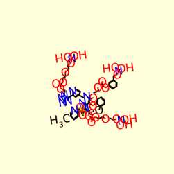 COc1ccccc1Oc1c(OCCOC(=O)Oc2cccc(CON(O)O)c2)nc(-c2ccnc(-c3nnnn3COC(=O)OCCOCCON(O)O)c2)nc1N(COC(=O)OCCOCCON(O)O)S(=O)(=O)c1ccc(C)cn1